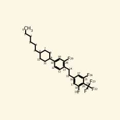 CCCCCCC1CCC(c2ccc(CCc3cc(F)c(C(F)(F)F)c(F)c3)c(F)c2)CC1